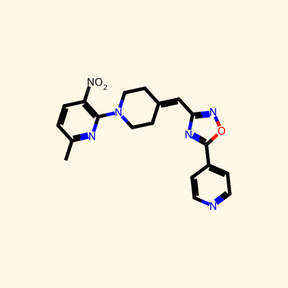 Cc1ccc([N+](=O)[O-])c(N2CCC(=Cc3noc(-c4ccncc4)n3)CC2)n1